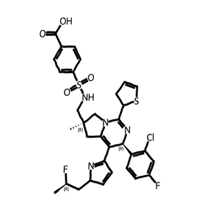 C[C@@H](F)CC1C=CC(C2=C3C[C@@](C)(CNS(=O)(=O)c4ccc(C(=O)O)cc4)CN3C(C3CC=CS3)=N[C@H]2c2ccc(F)cc2Cl)=N1